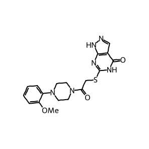 COc1ccccc1N1CCN(C(=O)CSc2nc3[nH]ncc3c(=O)[nH]2)CC1